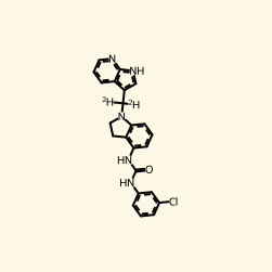 [2H]C([2H])(c1c[nH]c2ncccc12)N1CCc2c(NC(=O)Nc3cccc(Cl)c3)cccc21